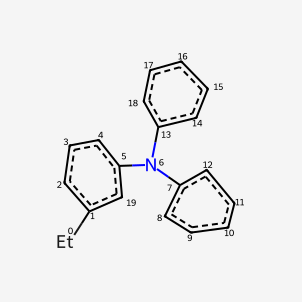 CCc1cccc(N(c2ccccc2)c2ccccc2)c1